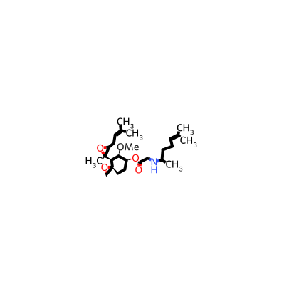 CO[C@@H]1[C@H](OC(=O)CNC(C)CCC=C(C)C)CC[C@]2(CO2)[C@H]1[C@@]1(C)OC1CC=C(C)C